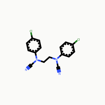 N#CN(CCN(C#N)c1ccc(Cl)cc1)c1ccc(Cl)cc1